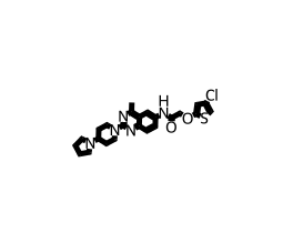 Cc1nc(N2CCC(N3CCCC3)CC2)nc2ccc(NC(=O)COc3cc(Cl)cs3)cc12